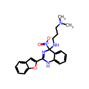 CN(C)CCCNC1([N+](=O)[O-])N=C(c2cc3ccccc3o2)Nc2ccccc21